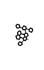 Brc1ccc2c3c(-c4ccccc4)cc(Br)c4ccc(-c5cc(-c6ccccc6)ccc5-c5ccccc5)c(c5cccc1c25)c43